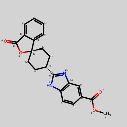 COC(=O)c1ccc2[nH]c([C@H]3CC[C@@]4(CC3)OC(=O)c3ccccc34)nc2c1